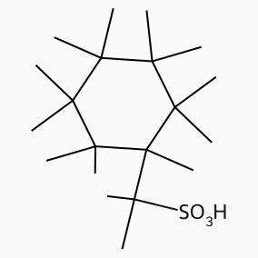 CC1(C)C(C)(C)C(C)(C)C(C)(C(C)(C)S(=O)(=O)O)C(C)(C)C1(C)C